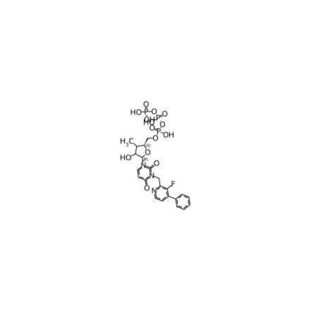 CC1C(O)[C@H](n2ccc(=O)n(Cc3nccc(-c4ccccc4)c3F)c2=O)O[C@@H]1COP(=O)(O)OP(=O)(O)OP(=O)(O)O